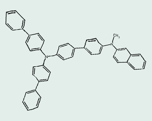 CN(c1ccc(-c2ccc(N(c3ccc(-c4ccccc4)cc3)c3ccc(-c4ccccc4)cc3)cc2)cc1)c1ccc2ccccc2c1